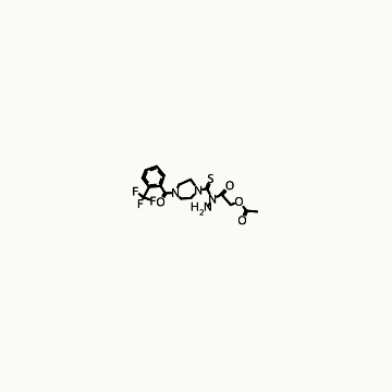 CC(=O)OCC(=O)N(N)C(=S)N1CCN(C(=O)c2ccccc2C(F)(F)F)CC1